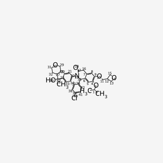 CC(C)Oc1cc2c(cc1OCC1COC1)CC(=O)N(c1ccc([C@@](C)(O)C3CCOCC3)cc1)C2c1ccc(Cl)cc1